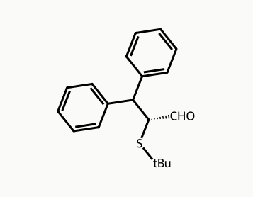 CC(C)(C)S[C@@H](C=O)C(c1ccccc1)c1ccccc1